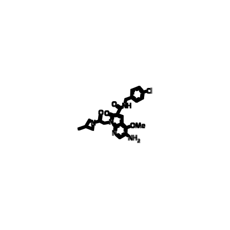 COc1c(N)cnc2c1cc(C(=O)NCc1ccc(Cl)cc1)c(=O)n2CC(=O)N1CC(C)C1